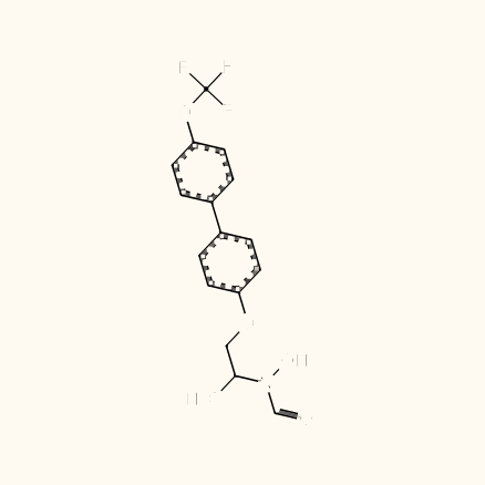 CC(COc1ccc(-c2ccc(OC(F)(F)F)cc2)cc1)N(O)C=O